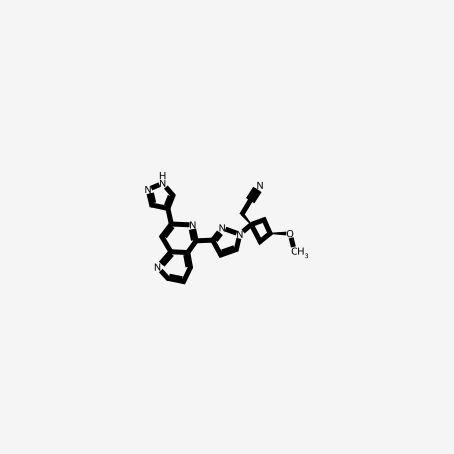 CO[C@H]1C[C@](CC#N)(n2ccc(-c3nc(-c4cn[nH]c4)cc4ncccc34)n2)C1